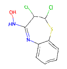 ONC1=Nc2ccccc2SC(Cl)C1Cl